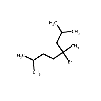 CC(C)CCC(C)(Br)CC(C)C